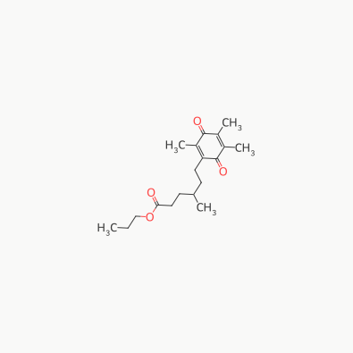 CCCOC(=O)CCC(C)CCC1=C(C)C(=O)C(C)=C(C)C1=O